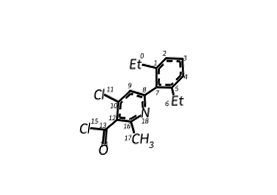 CCc1cccc(CC)c1-c1cc(Cl)c(C(=O)Cl)c(C)n1